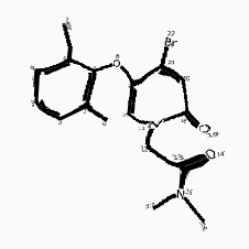 Cc1cccc(C)c1Oc1cn(CC(=O)N(C)C)c(=O)cc1Br